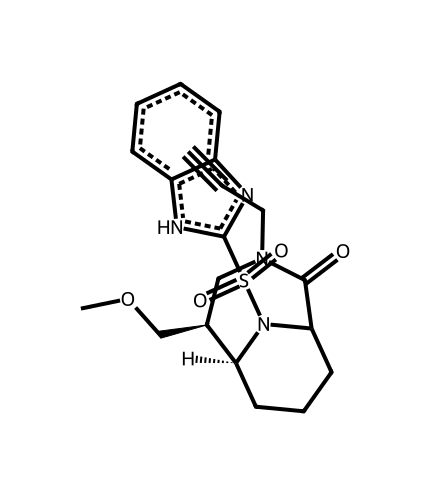 C#CCN1C[C@H](COC)[C@@H]2CCCC(C1=O)N2S(=O)(=O)c1nc2ccccc2[nH]1